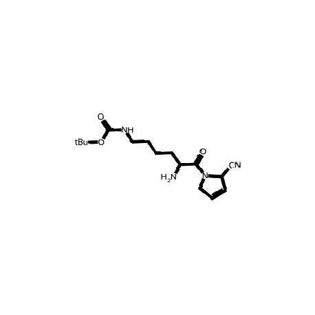 CC(C)(C)OC(=O)NCCCCC(N)C(=O)N1CC=CC1C#N